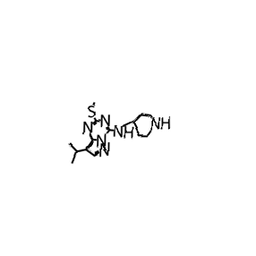 CSc1nc(NCC2CCNCC2)n2ncc(C(C)C)c2n1